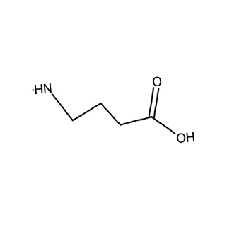 [NH]CCCC(=O)O